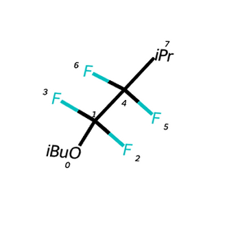 CC(C)COC(F)(F)C(F)(F)C(C)C